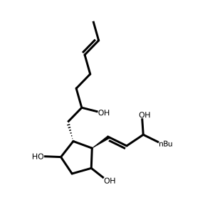 C/C=C/CCC(O)C[C@H]1C(O)CC(O)[C@@H]1C=CC(O)CCCC